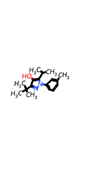 Cc1cccc(-n2nc(C(C)(C)C)c(O)c2C(C)C)c1